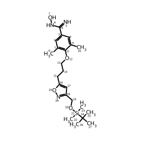 Cc1cc(C(=N)NO)cc(C)c1OCCCc1cc(CO[Si](C)(C)C(C)(C)C)no1